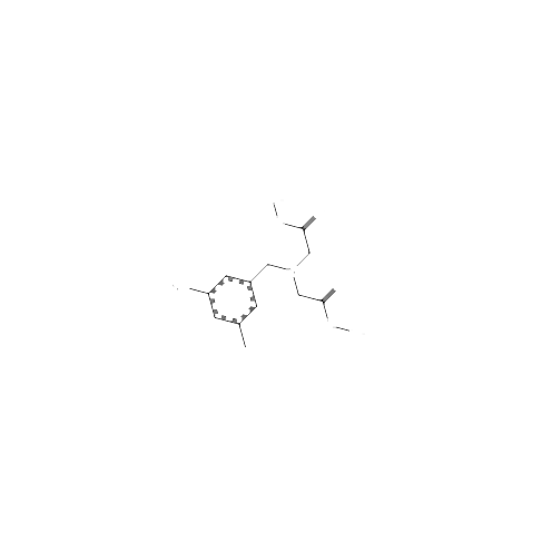 Cc1cc(C#N)cc(CN(CC(=O)OC(C)(C)C)CC(=O)OC(C)(C)C)c1